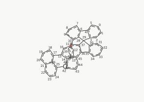 c1ccc2c(c1)-c1cccc(-c3ccc4c(c3)-c3cccc5cccc(c35)O4)c1C21c2ccccc2-c2c1ccc1ccccc21